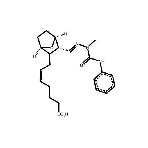 CN(N=C[C@@H]1[C@@H](C/C=C\CCCC(=O)O)[C@H]2CC[C@@H]1O2)C(=O)Nc1ccccc1